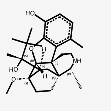 CO[C@@]12CC[C@@]3(C[C@@H]1[C@](C)(O)C(C)(C)C)[C@@H](C)NCC[C@@]31c3c(C)ccc(O)c3O[C@@H]21